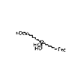 CCCCCCCCCCCCCCCCCCOC(CCCCCCCCCCCCCCCCCC)C(O)CO